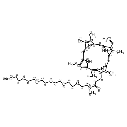 C=Cc1c(C)c2cc3nc(c(C)c4cc(C)c(cc5nc(cc1[nH]2)C(C)=C5CC)[nH]4)[C@@H](CCC(=O)N(C)CCOCCOCCOCCOCCOCCOC)[C@@H]3C